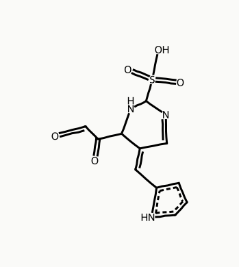 O=CC(=O)C1NC(S(=O)(=O)O)N=CC1=Cc1ccc[nH]1